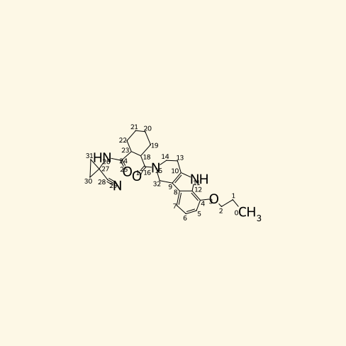 CCCOc1cccc2c3c([nH]c12)CCN(C(=O)C1CCCCC1C(=O)NC1(C#N)CC1)C3